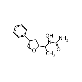 CC(C1CC(c2ccccc2)=NO1)N(O)C(N)=O